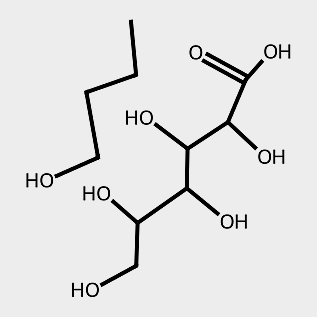 CCCCO.O=C(O)C(O)C(O)C(O)C(O)CO